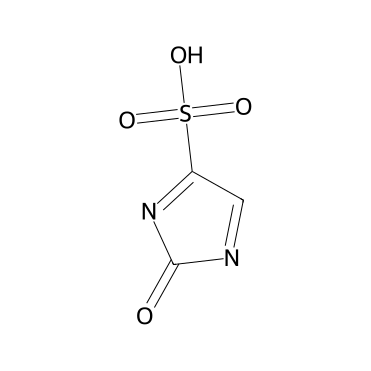 O=C1N=CC(S(=O)(=O)O)=N1